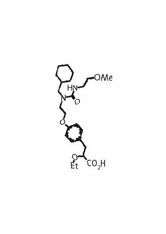 CCOC(Cc1ccc(OCCN(CC2CCCCC2)C(=O)NCCOC)cc1)C(=O)O